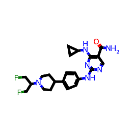 NC(=O)c1cnc(Nc2ccc(C3CCN(C(CF)CF)CC3)cc2)nc1NC1CC1